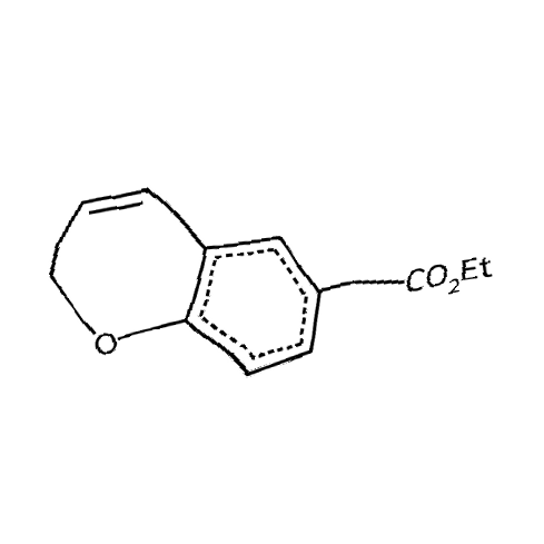 CCOC(=O)c1ccc2c(c1)C=CCO2